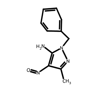 Cc1nn(Cc2ccccc2)c(N)c1N=O